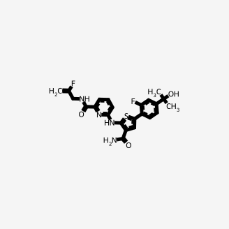 C=C(F)CNC(=O)c1cccc(Nc2sc(-c3ccc(C(C)(C)O)cc3F)cc2C(N)=O)n1